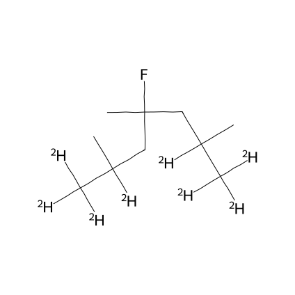 [2H]C([2H])([2H])C([2H])(C)CC(C)(F)CC([2H])(C)C([2H])([2H])[2H]